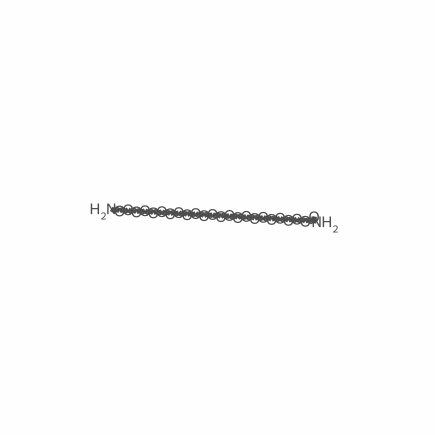 NCCOCCOCCOCCOCCOCCOCCOCCOCCOCCOCCOCCOCCOCCOCCOCCOCCOCCOCCOCCOCCOCCOCCOCCC(N)=O